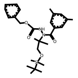 Cc1cc(C)cc(C(=O)N(NC(=O)OCc2ccccc2)C(C)(C)CO[Si](C)(C)C(C)(C)C)c1